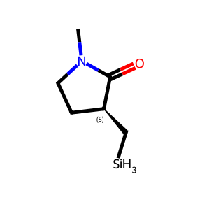 CN1CC[C@H](C[SiH3])C1=O